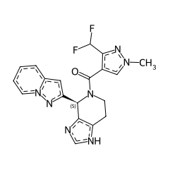 Cn1cc(C(=O)N2CCc3[nH]cnc3[C@H]2c2cc3ccccn3n2)c(C(F)F)n1